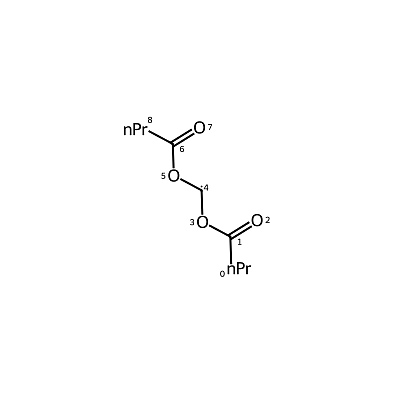 CCCC(=O)O[CH]OC(=O)CCC